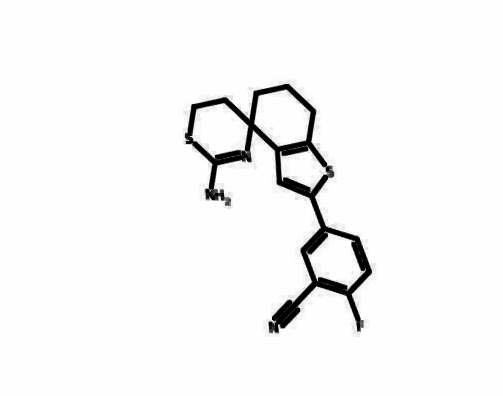 N#Cc1cc(-c2cc3c(s2)CCCC32CCSC(N)=N2)ccc1F